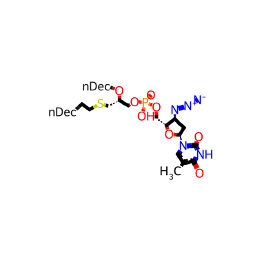 CCCCCCCCCCCCSC[C@@H](COP(=O)(O)OC[C@H]1O[C@@H](n2cc(C)c(=O)[nH]c2=O)C[C@@H]1N=[N+]=[N-])OCCCCCCCCCC